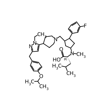 CCn1nc(Cc2ccc(OC(C)C)cc2)cc1C1CCN(CC2CC(N(C)[C@H](CC(C)C)C(=O)O)CC2c2cccc(F)c2)CC1